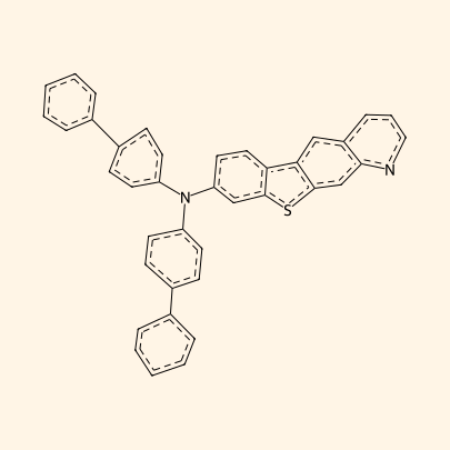 c1ccc(-c2ccc(N(c3ccc(-c4ccccc4)cc3)c3ccc4c(c3)sc3cc5ncccc5cc34)cc2)cc1